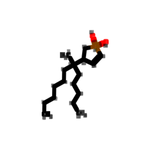 CCCCCCC(C)(CCCCC)C1C=CS(=O)(=O)C1